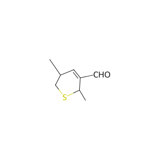 CC1C=C(C=O)C(C)SC1